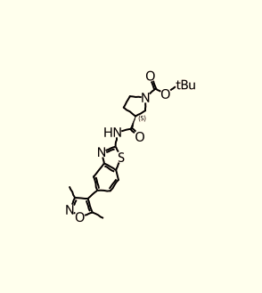 Cc1noc(C)c1-c1ccc2sc(NC(=O)[C@H]3CCN(C(=O)OC(C)(C)C)C3)nc2c1